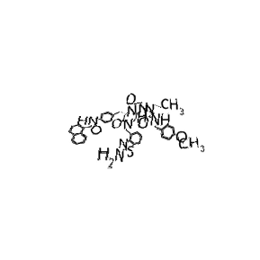 CCCN(C(=O)NCc1ccc(OC)cc1)N1CC(=O)N2[C@@H](Cc3ccc(NC(=O)c4cccc5ccccc45)cc3)C(=O)N(Cc3cccc4sc(N)nc34)C[C@@H]21